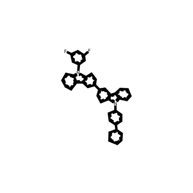 Fc1cc(F)cc(-n2c3ccccc3c3cc(-c4ccc5c(c4)c4ccccc4n5-c4ccc(-c5ccccc5)cc4)ccc32)c1